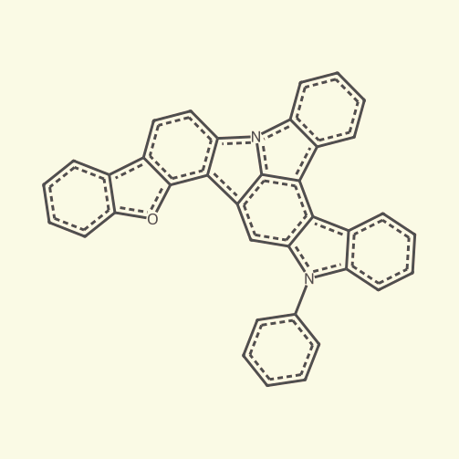 c1ccc(-n2c3ccccc3c3c4c5ccccc5n5c6ccc7c8ccccc8oc7c6c(cc32)c45)cc1